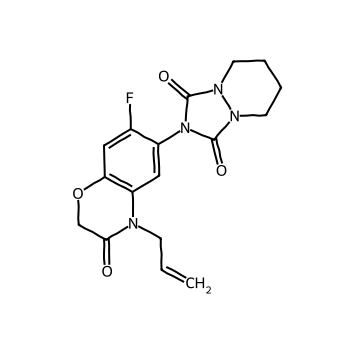 C=CCN1C(=O)COc2cc(F)c(-n3c(=O)n4n(c3=O)CCCC4)cc21